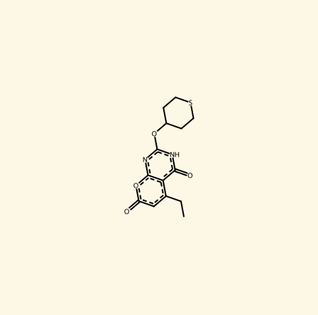 CCc1cc(=O)oc2nc(OC3CCSCC3)[nH]c(=O)c12